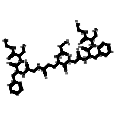 CC(=O)CNC(=O)C(CC(C)C)NC(=O)C(Cc1ccccc1)NC(=O)CNC(=O)CCC(NC(=O)CN)C(=O)NCC(=O)NC(Cc1ccccc1)C(=O)NC(CC(C)C)C(=O)NCC(C)=O